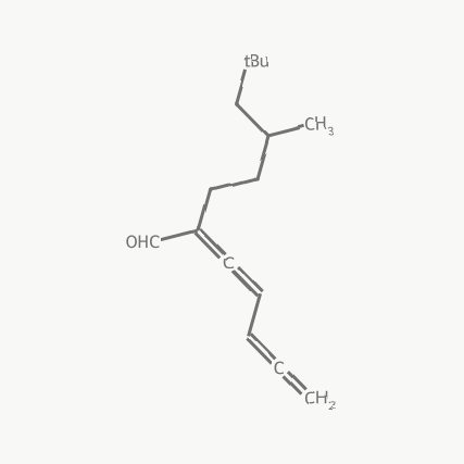 C=C=CC=C=C(C=O)CCC(C)CC(C)(C)C